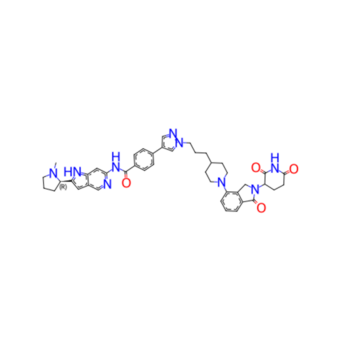 CN1CCC[C@@H]1c1cc2cnc(NC(=O)c3ccc(-c4cnn(CCCC5CCN(c6cccc7c6CN(C6CCC(=O)NC6=O)C7=O)CC5)c4)cc3)cc2[nH]1